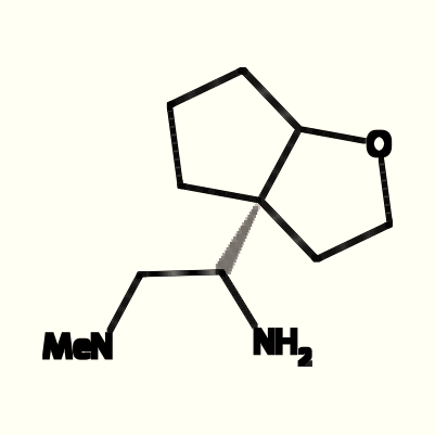 CNCC(N)[C@]12CCCC1OCC2